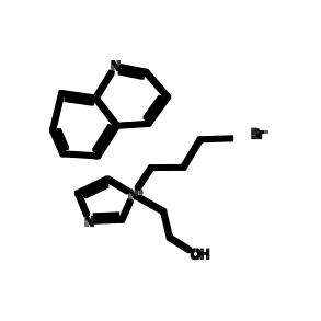 CCCC[N+]1(CCO)C=CN=C1.[Br-].c1ccc2ncccc2c1